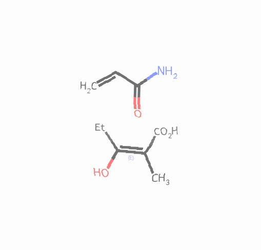 C=CC(N)=O.CC/C(O)=C(/C)C(=O)O